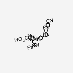 CCn1cncc1Cc1c(CN2CCC(c3cccc(OCc4ccc(C#N)cc4F)n3)CC2)nn2cnc(C(=O)O)nc12